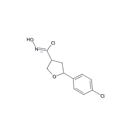 O/N=C(\Cl)C1COC(c2ccc(Cl)cc2)C1